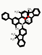 Cc1cccc(C)c1-c1cc(-c2ccccc2)cc(C)c1N(c1ccc2c(c1)C(C)(C)c1ccccc1-2)c1ccc2c(c1)C(C)(C)c1ccccc1-2